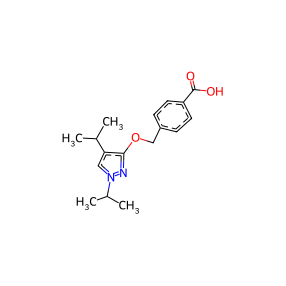 CC(C)c1cn(C(C)C)nc1OCc1ccc(C(=O)O)cc1